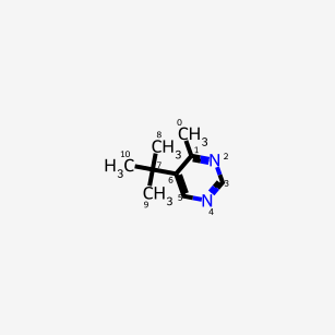 Cc1ncncc1C(C)(C)C